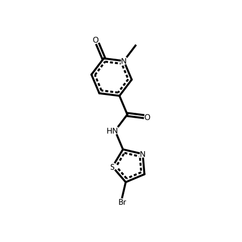 Cn1cc(C(=O)Nc2ncc(Br)s2)ccc1=O